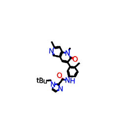 Cc1cc2c(cn1)cc(-c1cc(NC(=O)c3nccn3CC(C)(C)C)ccc1C)c(=O)n2C